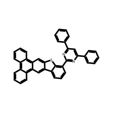 c1ccc(-c2cc(-c3ccccc3)nc(-c3cccc4c3sc3cc5c6ccccc6c6ccccc6c5cc34)n2)cc1